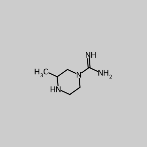 CC1CN(C(=N)N)CCN1